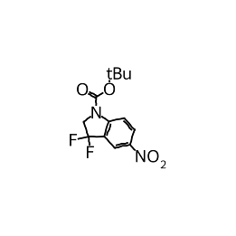 CC(C)(C)OC(=O)N1CC(F)(F)c2cc([N+](=O)[O-])ccc21